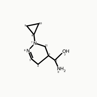 NC(O)C1CC=NN(C2CC2)C1